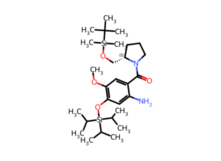 COc1cc(C(=O)N2CCC[C@H]2CO[Si](C)(C)C(C)(C)C)c(N)cc1O[Si](C(C)C)(C(C)C)C(C)C